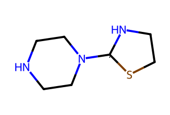 C1CN([C]2NCCS2)CCN1